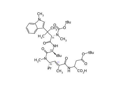 C/C(=C\[C@H](C(C)C)N(C)C(=O)[C@@H](NC(=O)[C@@H](N(C)C(=O)OC(C)(C)C)C(C)(C)c1cn(C)c2ccccc12)C(C)(C)C)C(=O)NC(CC(=O)OC(C)(C)C)C(=O)O